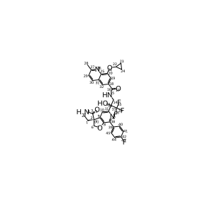 CC[C@]1(C(N)=O)COc2c1cc(C(O)(CNC(=O)c1cc(OC3CC3)c3nc(C)ccc3c1)C(F)(F)F)nc2-c1ccc(F)cc1